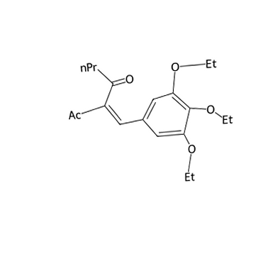 CCCC(=O)C(=Cc1cc(OCC)c(OCC)c(OCC)c1)C(C)=O